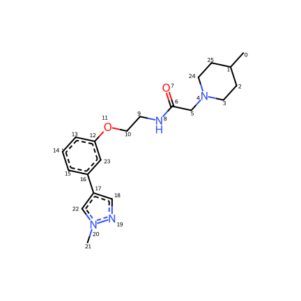 CC1CCN(CC(=O)NCCOc2c[c]cc(-c3cnn(C)c3)c2)CC1